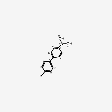 Cc1ccc(-c2ccc(B(O)O)cc2)cc1